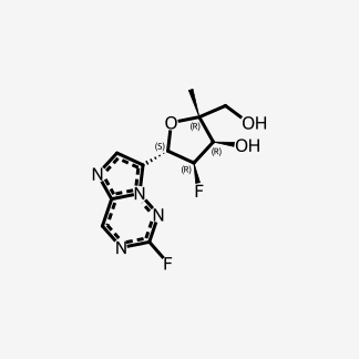 C[C@]1(CO)O[C@@H](c2cnc3cnc(F)nn23)[C@H](F)[C@@H]1O